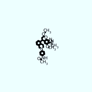 CCOC(=O)CC(c1cc(OC)c2c(c1)nnn2C)c1cccc2c1CCN(c1ccc(NC(C)=O)cc1)C2